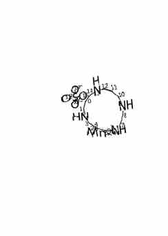 C1CNCCCNCCNCCCNC1.O=S(=O)([O-])[O-].[Mn+2]